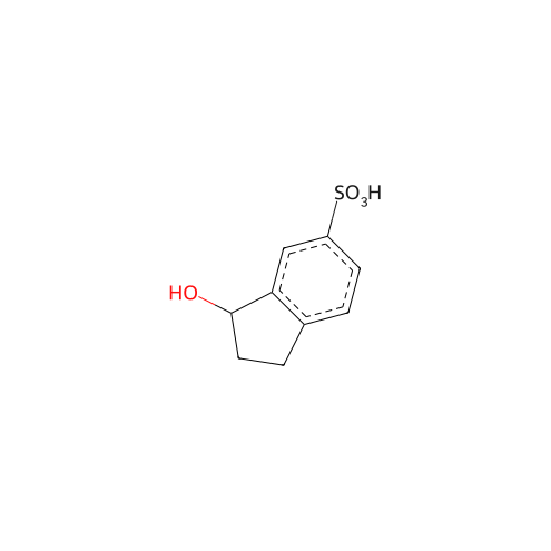 O=S(=O)(O)c1ccc2c(c1)C(O)CC2